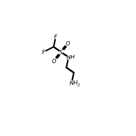 NCCNS(=O)(=O)C(F)F